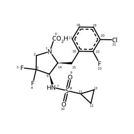 O=C(O)N1CC(F)(F)[C@H](NS(=O)(=O)C2CC2)[C@@H]1Cc1cccc(Cl)c1F